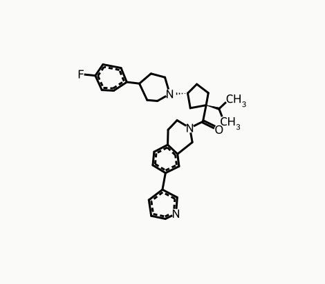 CC(C)[C@]1(C(=O)N2CCc3ccc(-c4cccnc4)cc3C2)CC[C@@H](N2CCC(c3ccc(F)cc3)CC2)C1